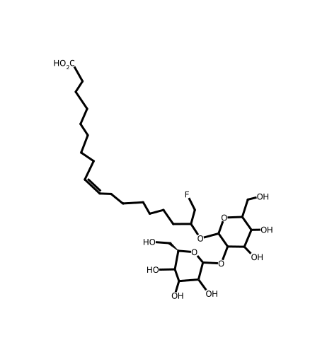 O=C(O)CCCCCCC/C=C\CCCCCCC(CF)OC1OC(CO)C(O)C(O)C1OC1O[C@H](CO)C(O)C(O)C1O